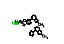 CC1=CC2C(=C1)C=CC=C2c1ccccc1.CC1=CC2C(=C1)C=CC=C2c1ccccc1.C[Si](C)=[Zr].Cl.Cl